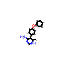 CC1NC=NC(N)=C1c1ccc(Oc2ccccc2)cc1